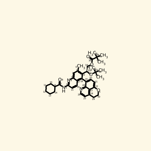 Cc1cc2nc(NC(=O)C3CCCCC3)ccc2c(-c2ccc3c4c(ccnc24)CCO3)c1[C@@H](COC(=O)C(C)(C)C)OC(C)(C)C